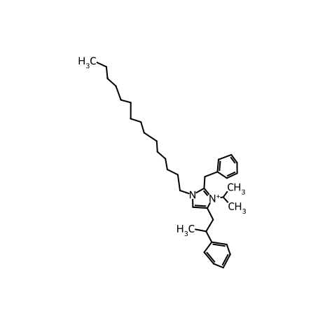 CCCCCCCCCCCCCCCn1cc(CC(C)c2ccccc2)[n+](C(C)C)c1Cc1ccccc1